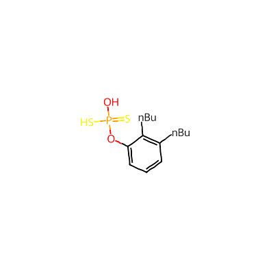 CCCCc1cccc(OP(O)(=S)S)c1CCCC